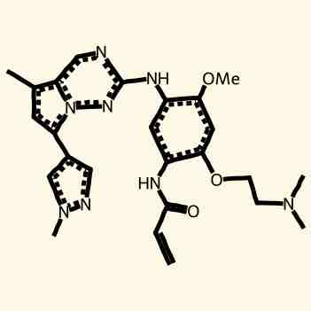 C=CC(=O)Nc1cc(Nc2ncc3c(C)cc(-c4cnn(C)c4)n3n2)c(OC)cc1OCCN(C)C